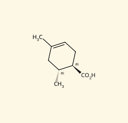 CC1=CC[C@@H](C(=O)O)[C@H](C)C1